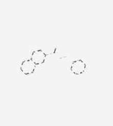 Cc1ccc(OCC(=O)c2ccc3ccccc3c2)cc1